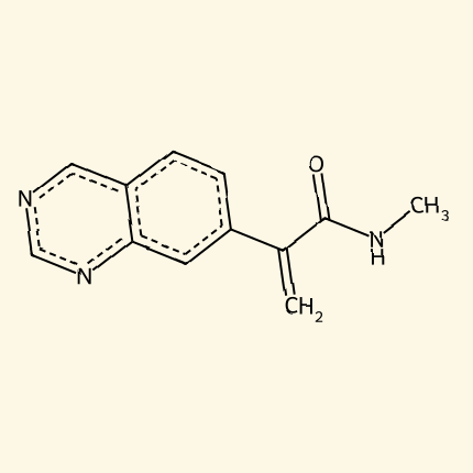 C=C(C(=O)NC)c1ccc2cncnc2c1